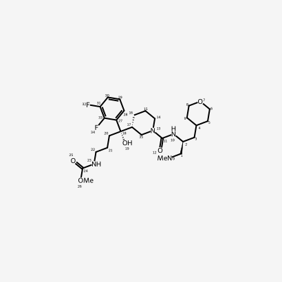 CNC[C@H](CC1CCOCC1)NC(=O)N1CCC[C@@H]([C@@](O)(CCCNC(=O)OC)c2cccc(F)c2F)C1